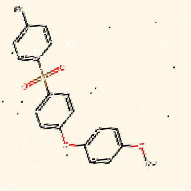 CCC(C)Oc1ccc(Oc2ccc(S(=O)(=O)c3ccc(C(C)C)cc3)cc2)cc1